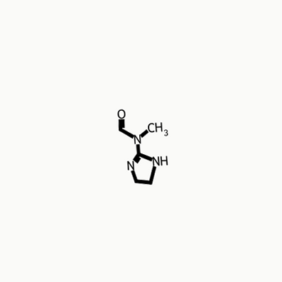 CN(C=O)C1=NCCN1